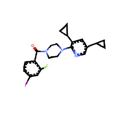 O=C(c1ccc(I)cc1F)N1CCN(c2ncc(C3CC3)cc2C2CC2)CC1